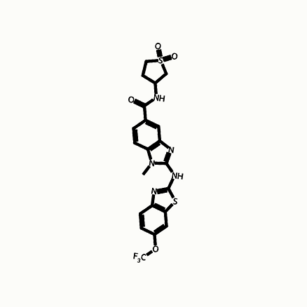 Cn1c(Nc2nc3ccc(OC(F)(F)F)cc3s2)nc2cc(C(=O)NC3CCS(=O)(=O)C3)ccc21